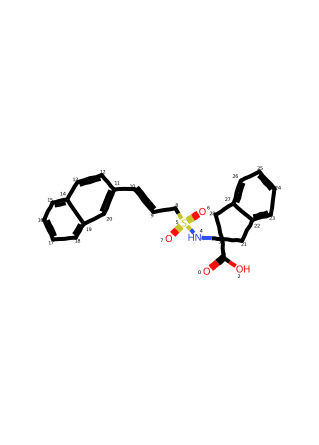 O=C(O)C1(NS(=O)(=O)CC=Cc2ccc3ccccc3c2)Cc2ccccc2C1